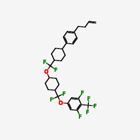 C=CCCc1ccc(C2CCC(C(F)(F)OC3CCC(C(F)(F)Oc4cc(F)c(C(F)(F)F)c(F)c4)CC3)CC2)cc1